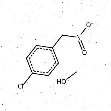 CO.O=[N+]([O-])Cc1ccc(Cl)cc1